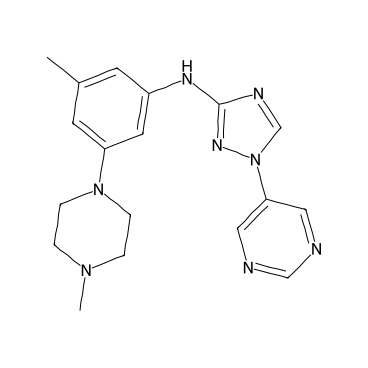 Cc1cc(Nc2ncn(-c3cncnc3)n2)cc(N2CCN(C)CC2)c1